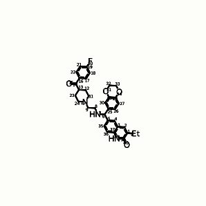 CCc1cc2cc(C(NCCN3CCC(C(=O)c4ccc(F)cc4)CC3)c3ccc4c(c3)OCCO4)ccc2[nH]c1=O